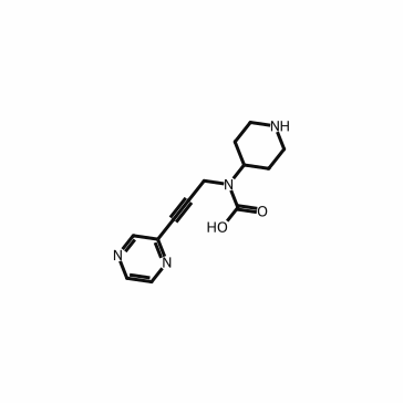 O=C(O)N(CC#Cc1cnccn1)C1CCNCC1